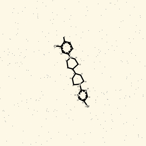 Cc1ccc(N2CCC(C3CCN(c4ncc(Br)cn4)CC3)CC2)cc1Cl